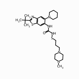 CN1CCN(CCCSNC(=O)Nc2cc3sc(C(C)(C)C)nc3cc2N2CCCCC2)CC1